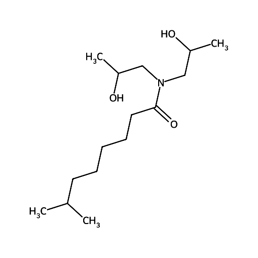 CC(C)CCCCCC(=O)N(CC(C)O)CC(C)O